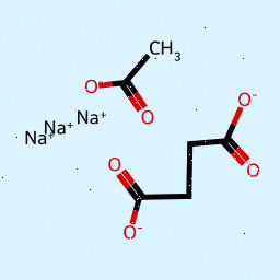 CC(=O)[O-].O=C([O-])CCC(=O)[O-].[Na+].[Na+].[Na+]